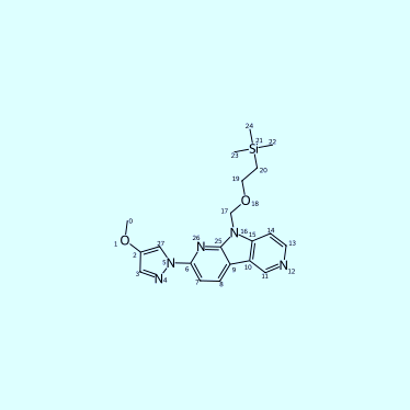 COc1cnn(-c2ccc3c4cnccc4n(COCC[Si](C)(C)C)c3n2)c1